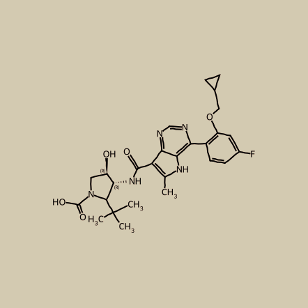 Cc1[nH]c2c(-c3ccc(F)cc3OCC3CC3)ncnc2c1C(=O)N[C@@H]1C(C(C)(C)C)N(C(=O)O)C[C@H]1O